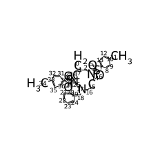 C=C1CN(S(=O)(=O)c2ccc(C)cc2)CCCN(Cc2ccccc2)CN(S(=O)(=O)c2ccc(C)cc2)C1